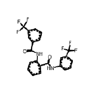 O=C(Nc1ccccc1C(=O)Nc1cccc(C(F)(F)F)c1)c1cccc(C(F)(F)F)c1